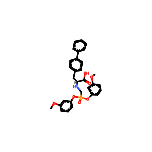 COc1cccc(OP(=O)(CN[C@@H](Cc2ccc(-c3ccccc3)cc2)C(=O)O)Oc2cccc(OC)c2)c1